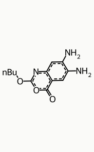 CCCCOc1nc2cc(N)c(N)cc2c(=O)o1